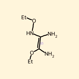 CCON/C(N)=C(/N)OCC